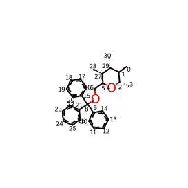 CC1[C@H](C)OC(COC(c2ccccc2)(c2ccccc2)c2ccccc2)[C@@H](C)[C@@H]1C